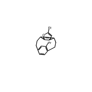 CCc1cc2c3ccc(c2o1)CCc1ccc(c(C(C)C)c1)CC3